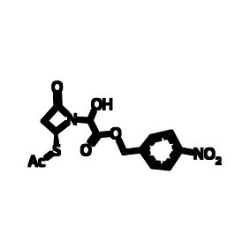 CC(=O)S[C@H]1CC(=O)N1C(O)C(=O)OCc1ccc([N+](=O)[O-])cc1